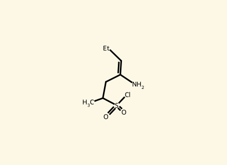 CC/C=C(/N)CC(C)S(=O)(=O)Cl